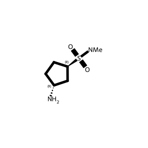 CNS(=O)(=O)[C@@H]1CC[C@@H](N)C1